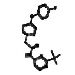 CC(C)(C)c1nccc(NC(=O)Cc2ccc(Oc3ccc(F)cc3)cc2)n1